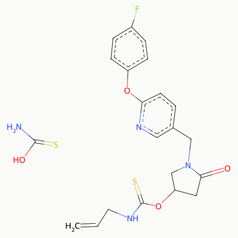 C=CCNC(=S)OC1CC(=O)N(Cc2ccc(Oc3ccc(F)cc3)nc2)C1.NC(O)=S